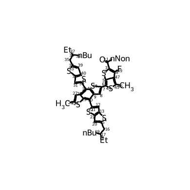 CCCCCCCCCC(=O)c1sc2c(-c3cc4c(-c5cc6sc(CC(CC)CCCC)cc6s5)c5sc(C)cc5c(-c5cc6sc(CC(CC)CCCC)cc6s5)c4s3)sc(C)c2c1F